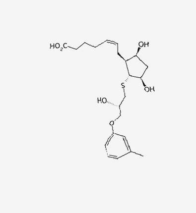 Cc1cccc(OC[C@H](O)CS[C@@H]2[C@@H](C/C=C\CCCC(=O)O)[C@@H](O)C[C@H]2O)c1